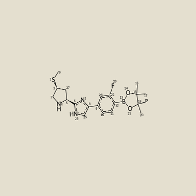 CS[C@@H]1CN[C@H](c2nc(-c3ccc(B4OC(C)(C)C(C)(C)O4)c(F)c3)c[nH]2)C1